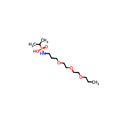 CCCOCCOCCOCCCNP(=O)(O)C(C)C